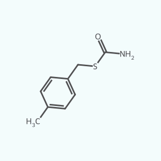 Cc1ccc(CSC(N)=O)cc1